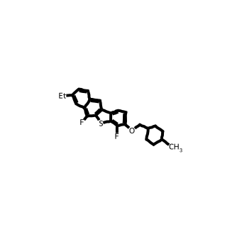 CCc1ccc2cc3c(sc4c(F)c(OCC5CCC(C)CC5)ccc43)c(F)c2c1